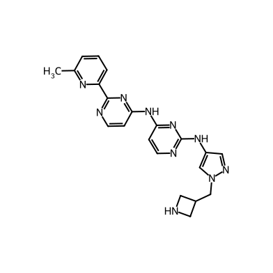 Cc1cccc(-c2nccc(Nc3ccnc(Nc4cnn(CC5CNC5)c4)n3)n2)n1